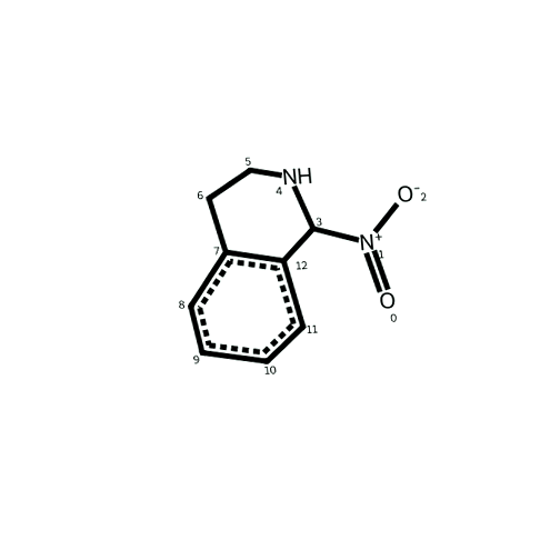 O=[N+]([O-])C1NCCc2ccccc21